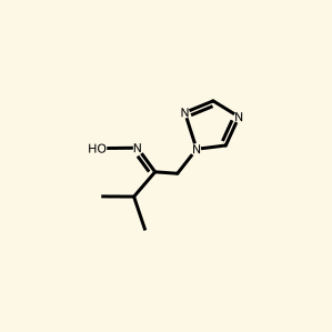 CC(C)C(Cn1cncn1)=NO